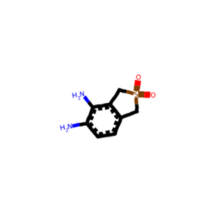 Nc1ccc2c(c1N)CS(=O)(=O)C2